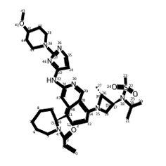 C=CC(=O)N1CCCCC[C@H]1c1ccc(N2C[C@H](N(C(C)C)S(C)(=O)=O)[C@H]2C)c2cnc(Nc3ccnc(N4CCC(OC)CC4)n3)cc12